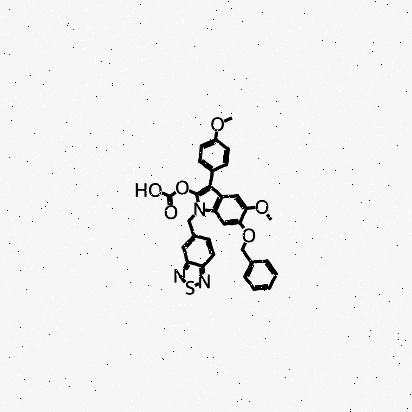 COc1ccc(-c2c(OC(=O)O)n(Cc3ccc4nsnc4c3)c3cc(OCc4ccccc4)c(OC)cc23)cc1